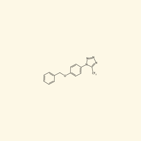 FC(F)(F)c1nnnn1-c1ccc(OCc2ccccc2)cc1